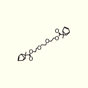 CC1(C(=O)OCCOCCOCCOC(=O)C2(C)CC3C=CC2C3)CC2C=CC1C2